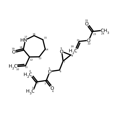 C=C(C)C(=O)OCC1CO1.C=CC1CCCCNC1=O.C=COC(C)=O